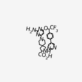 Nc1nc(O[C@H](c2ccc(-c3cncnc3)cc2)C(F)(F)F)cc(N2CCC3(CC2)CNC(C(=O)O)C3)n1